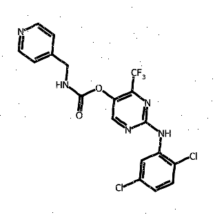 O=C(NCc1ccncc1)Oc1cnc(Nc2cc(Cl)ccc2Cl)nc1C(F)(F)F